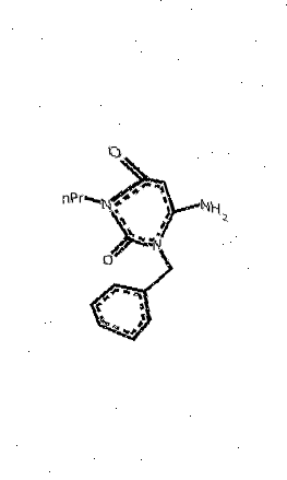 CCCn1c(=O)cc(N)n(Cc2ccccc2)c1=O